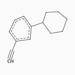 C#Cc1cccc(C2CCCCC2)c1